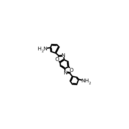 Nc1cccc(-c2nc3cc4oc(-c5cccc(N)c5)nc4cc3o2)c1